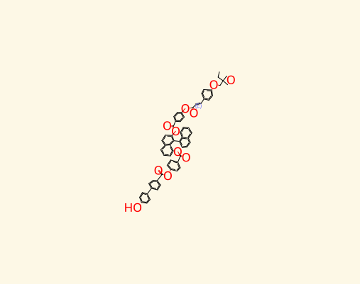 CCC1(COc2ccc(/C=C/C(=O)Oc3ccc(C(=O)Oc4ccc5ccccc5c4-c4c(OC(=O)c5ccc(OC(=O)c6ccc(-c7ccc(O)cc7)cc6)cc5)ccc5ccccc45)cc3)cc2)COC1